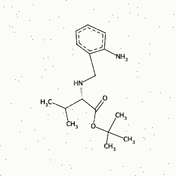 CC(C)[C@H](NCc1ccccc1N)C(=O)OC(C)(C)C